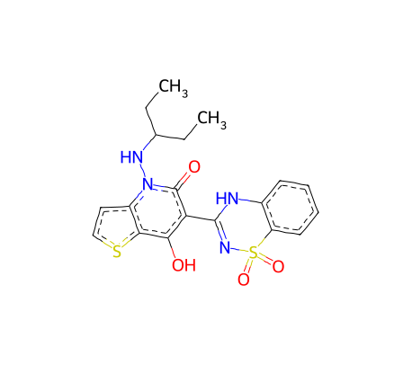 CCC(CC)Nn1c(=O)c(C2=NS(=O)(=O)c3ccccc3N2)c(O)c2sccc21